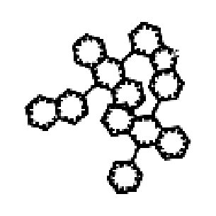 c1ccc(-c2c3ccccc3c(-c3ccc4oc5cccc(-c6c7ccccc7c(-c7ccc8ccccc8c7)c7ccccc67)c5c4c3)c3ccccc23)cc1